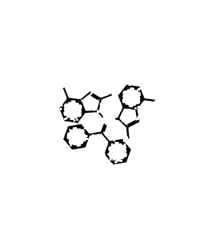 CC1=Cc2c(C)cccc2[CH]1[Zr+2](=[C](c1ccccc1)c1ccccc1)[CH]1C(C)=Cc2c(C)cccc21.[Cl-].[Cl-]